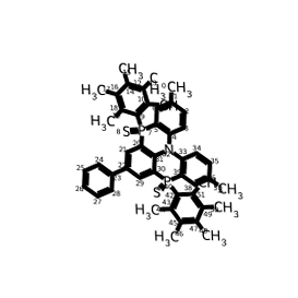 Cc1ccc2c(c1)P(=S)(c1c(C)c(C)c(C)c(C)c1C)c1cc(-c3ccccc3)cc3c1N2c1ccc(C)cc1P3(=S)c1c(C)c(C)c(C)c(C)c1C